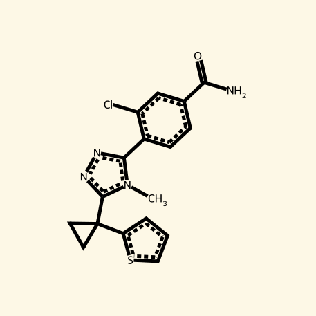 Cn1c(-c2ccc(C(N)=O)cc2Cl)nnc1C1(c2cccs2)CC1